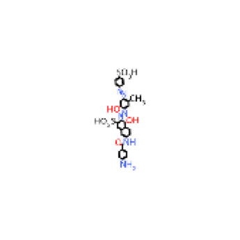 Cc1cc(N=Nc2c(S(=O)(=O)O)cc3cc(NC(=O)c4ccc(N)cc4)ccc3c2O)c(O)cc1N=Nc1ccc(S(=O)(=O)O)cc1